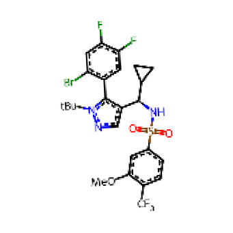 COc1cc(S(=O)(=O)N[C@@H](c2cnn(C(C)(C)C)c2-c2cc(F)c(F)cc2Br)C2CC2)ccc1C(F)(F)F